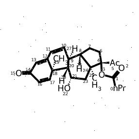 CCCC(=O)O[C@@]1(C(C)=O)CC[C@H]2[C@@H]3C=CC4=CC(=O)C=C[C@]4(C)[C@H]3[C@@H](O)C[C@@]21C